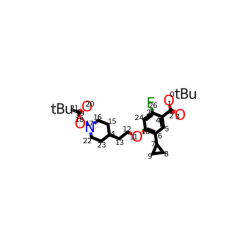 CC(C)(C)OC(=O)c1cc(C2CC2)c(OCCC2CCN(OC(=O)C(C)(C)C)CC2)cc1F